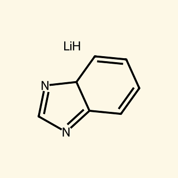 C1=CC2=NC=NC2C=C1.[LiH]